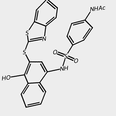 CC(=O)Nc1ccc(S(=O)(=O)Nc2cc(Sc3nc4ccccc4s3)c(O)c3ccccc23)cc1